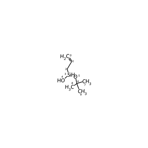 C=CC[SiH](O)OC(C)(C)C